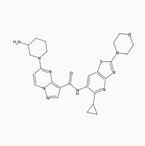 NC1CCCN(c2ccn3ncc(C(=O)Nc4cc5sc(N6CCOCC6)nc5nc4C4CC4)c3n2)C1